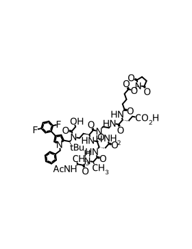 CC(=O)N[C@@H](C)C(=O)N[C@H](C)C(=O)N[C@@H](CC(N)=O)C(=O)N[C@@H](CCN(C(=O)CO)[C@@H](c1cc(-c2cc(F)ccc2F)cn1Cc1ccccc1)C(C)(C)C)C(=O)NCCNC(=O)[C@@H](CCC(=O)O)NC(=O)CCCC(=O)ON1C(=O)CCC1=O